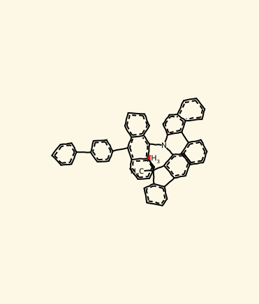 CC1(C)c2ccccc2-c2cccc(N(c3ccc4ccccc4c3-c3ccccc3)c3c4ccccc4c(-c4ccc(-c5ccccc5)cc4)c4ccccc34)c21